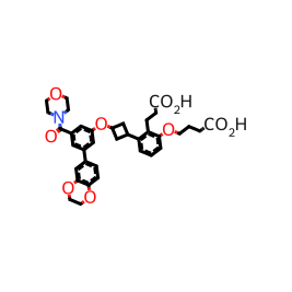 O=C(O)CCCOc1cccc(C2CC(Oc3cc(C(=O)N4CCOCC4)cc(-c4ccc5c(c4)OCCO5)c3)C2)c1CCC(=O)O